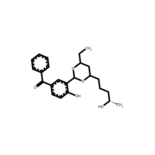 CCC1CC(CCC[C@H](C)O)OC(c2cc(C(=O)c3ccccc3)ccc2O)O1